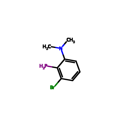 CN(C)c1cccc(Br)c1P